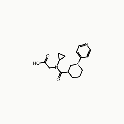 O=C(O)CN(C(=O)C1CCCN(c2ccncc2)C1)C1CC1